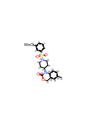 COc1cccc(S(=O)(=O)N2CCC(N3C(=O)OCc4cc(C)ccc43)CC2)c1